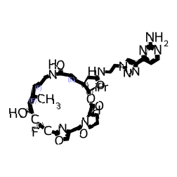 CC1=C\[C@@H](O)C[C@@H](F)Cc2nc(co2)C(=O)N2CCC[C@@H]2C(=O)O[C@H](C(C)C)[C@H](CC(=O)NCCn2cc(-c3ccnc(N)n3)nn2)/C=C/C(=O)NC\C=C\1